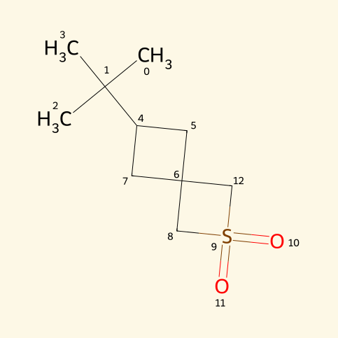 CC(C)(C)C1CC2(C1)CS(=O)(=O)C2